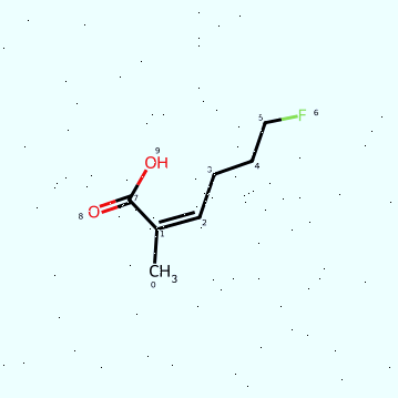 CC(=CCCCF)C(=O)O